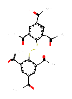 COC(=O)c1cc(C(=O)OC)c(SSc2c(C(=O)OC)cc(C(=O)OC)cc2C(=O)OC)c(C(=O)OC)c1